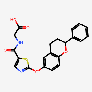 O=C(O)CNC(=O)c1cnc(Oc2ccc3c(c2)CCC(c2ccccc2)O3)s1